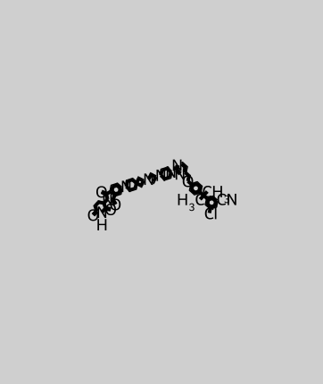 CC(C)(c1ccc(OCc2ccnc(N3CCN(C4CN(C5CC6(CCN(c7ccc8c(c7)C(=O)N(C7CCC(=O)NC7=O)C8=O)CC6)C5)C4)CC3)n2)cc1)c1cc(Cl)cc(C#N)c1